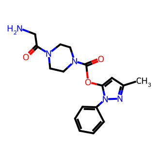 Cc1cc(OC(=O)N2CCN(C(=O)CN)CC2)n(-c2ccccc2)n1